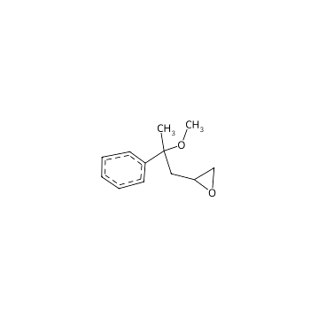 COC(C)(CC1CO1)c1ccccc1